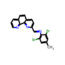 Cc1cc(Br)c(/N=C/c2ccc3ccc4cccnc4c3n2)c(Br)c1